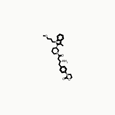 COCCCn1c([C@@H]2CCCN(C(=O)C[C@H](N)Cc3ccc(N4CCOC4=O)cc3)C2)c(C)c2ccccc21